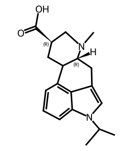 CC(C)n1cc2c3c(cccc31)C1C[C@@H](C(=O)O)CN(C)[C@@H]1C2